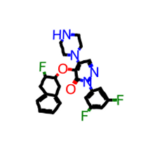 O=c1c(OC2Cc3ccccc3CC2F)c(N2CCNCC2)cnn1-c1cc(F)cc(F)c1